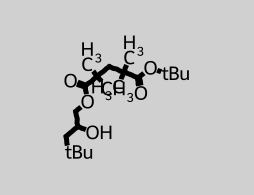 CC(C)(C)CC(O)COC(=O)C(C)(C)CC(C)(C)C(=O)OC(C)(C)C